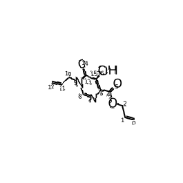 C=CCOC(=O)c1ncn(CC=C)c(=O)c1O